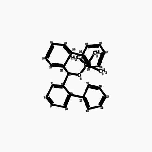 C[Si](C)(C)OC(c1ccccc1-c1ccccc1)c1ccccc1-c1ccccc1